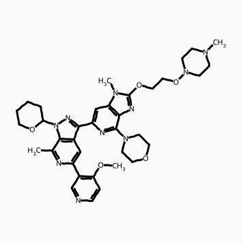 COc1ccncc1-c1cc2c(-c3cc4c(nc(OCCON5CCN(C)CC5)n4C)c(N4CCOCC4)n3)nn(C3CCCCO3)c2c(C)n1